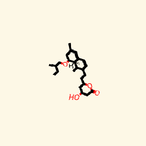 CCC(C)COC1CC(C)C=C2C=CC(CCC3CC(O)CC(=O)O3)C(C)[C@H]21